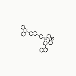 c1ccc2c(-c3ccc(N(c4ccc(-c5ccc6cc(-c7cc8ccccc8c8ccccc78)ccc6c5)cc4)c4cccc5oc6ccccc6c45)cc3)cccc2c1